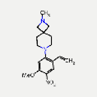 C=Cc1cc([N+](=O)[O-])c(OC)cc1N1CCC2(CC1)CN(C)C2